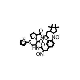 CC(CC1CCC(C)(C)C1(C)C)OC(=O)C1CCCN1C(=O)C(CSc1cccs1)NC(=O)C(Cc1ccc(N=O)c(O)c1)N=O